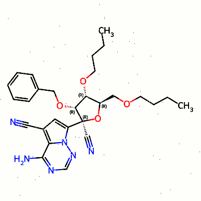 CCCCOC[C@H]1O[C@@](C#N)(c2cc(C#N)c3c(N)ncnn23)[C@H](OCc2ccccc2)[C@@H]1OCCCC